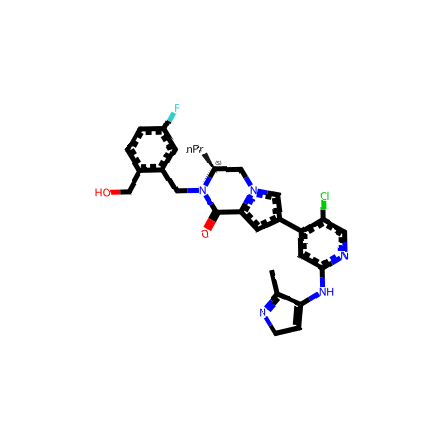 CCC[C@H]1Cn2cc(-c3cc(NC4=CCN=C4C)ncc3Cl)cc2C(=O)N1Cc1cc(F)ccc1CO